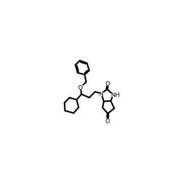 O=C1CC2NC(=O)N(CCC(OCc3ccccc3)C3CCCCC3)C2C1